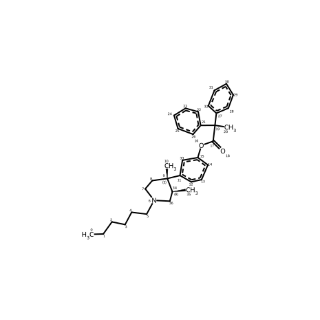 CCCCCCN1CC[C@](C)(c2cccc(OC(=O)C(C)(c3ccccc3)c3ccccc3)c2)[C@@H](C)C1